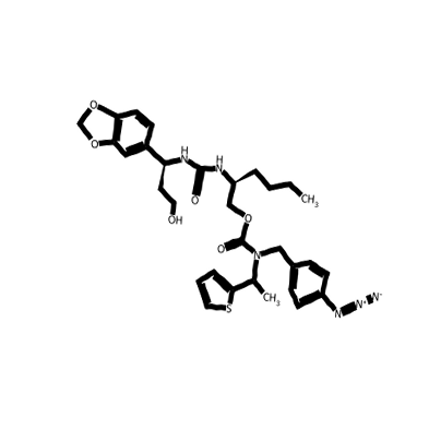 CCCC[C@@H](COC(=O)N(Cc1ccc(N=[N+]=[N-])cc1)C(C)c1cccs1)NC(=O)N[C@@H](CCO)c1ccc2c(c1)OCO2